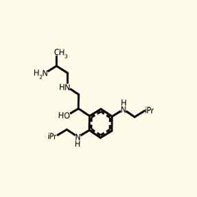 CC(C)CNc1ccc(NCC(C)C)c(C(O)CNCC(C)N)c1